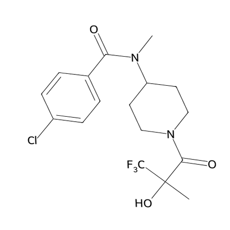 CN(C(=O)c1ccc(Cl)cc1)C1CCN(C(=O)C(C)(O)C(F)(F)F)CC1